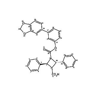 O=C(O)C1[C@@H](c2ccccc2)C(C(=O)Oc2cccc(-c3ccc4c(c3)OCO4)c2)[C@@H]1c1ccccc1